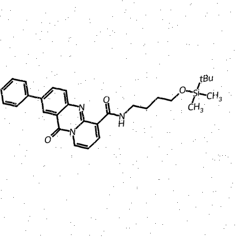 CC(C)(C)[Si](C)(C)OCC[CH]CNC(=O)c1cccn2c(=O)c3cc(-c4ccccc4)ccc3nc12